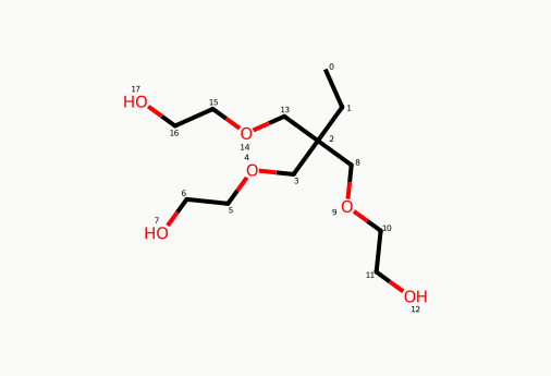 CCC(COCCO)(COCCO)COCCO